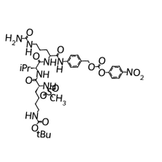 CC(C)[C@H](NC(=O)[C@H](CCCCNC(=O)OC(C)(C)C)NS(C)(=O)=O)C(=O)NC(CCCNC(N)=O)C(=O)Nc1ccc(COC(=O)Oc2ccc([N+](=O)[O-])cc2)cc1